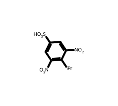 CC(C)c1c([N+](=O)[O-])cc(S(=O)(=O)O)cc1[N+](=O)[O-]